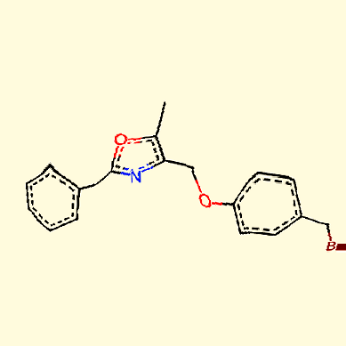 Cc1oc(-c2ccccc2)nc1COc1ccc(CBr)cc1